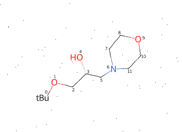 CC(C)(C)OC[C@H](O)CN1CCOCC1